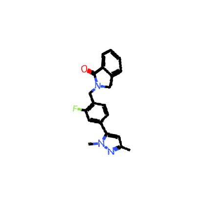 Cc1cc(-c2ccc(CN3Cc4ccccc4C3=O)c(F)c2)n(C)n1